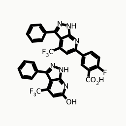 O=C(O)c1cc(-c2cc(C(F)(F)F)c3c(-c4ccccc4)n[nH]c3n2)ccc1F.Oc1cc(C(F)(F)F)c2c(-c3ccccc3)n[nH]c2n1